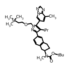 Cc1cc(-c2c(C(C)C)c(-c3ccc4c(c3)CCC(N(C)C(=O)OC(C)(C)C)C4)nn2COCC[Si](C)(C)C)cn2ncnc12